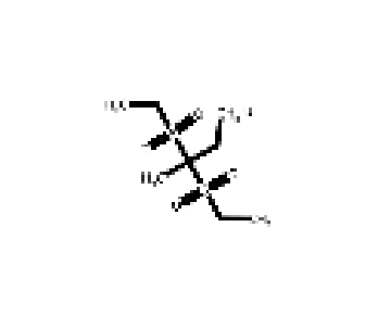 CCC(C)(S(=O)(=O)CC)S(=O)(=O)CC.[U]